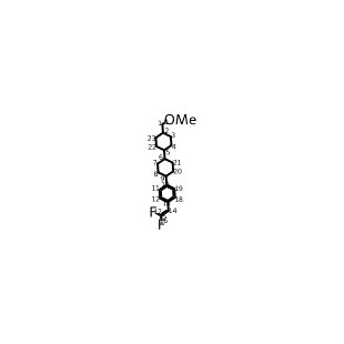 COCC1CCC(C2CCC(c3ccc(C=C(F)F)cc3)CC2)CC1